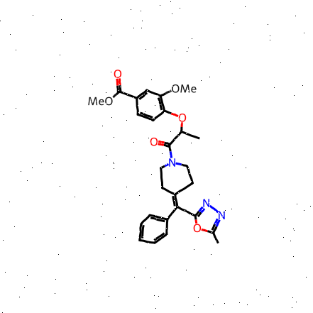 COC(=O)c1ccc(OC(C)C(=O)N2CCC(=C(c3ccccc3)c3nnc(C)o3)CC2)c(OC)c1